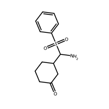 NC(C1CCCC(=O)C1)S(=O)(=O)c1ccccc1